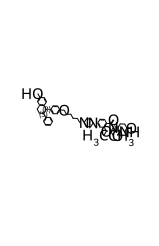 CCN(C(=O)c1ccc(N2CCN(CCCCCOc3ccc([C@@H]4c5ccc(O)cc5CC[C@@H]4c4ccccc4)cc3)CC2)cc1OC)[C@@H]1CCC(=O)NC1=O